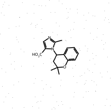 Cc1ncc(C(=O)O)n1C1CC(C)(C)Oc2ccccc21